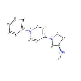 CN[C@@H]1CCN(C2=CCN(c3ccccc3)C=C2)C1